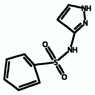 O=S(=O)(Nc1cc[nH]n1)c1ccccc1